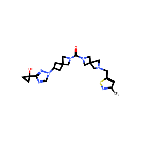 O=C(N1CC2(CC(n3cnc(C4(O)CC4)n3)C2)C1)N1CC2(CN(Cc3cc(C(F)(F)F)ns3)C2)C1